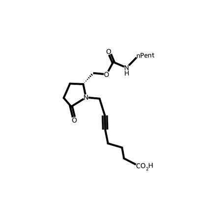 CCCCCNC(=O)OC[C@H]1CCC(=O)N1CC#CCCCC(=O)O